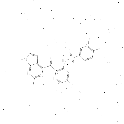 Cc1cnc(C(=O)c2nc(C)nc3[nH]ccc23)c(NS(=O)(=O)c2ccc(Cl)c(C)c2)c1